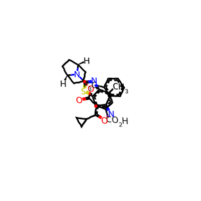 Cc1cc(C(=O)O)cc2sc(N3[C@@H]4CC[C@H]3CC(OC(=O)c3c(-c5ccccc5C(F)(F)F)noc3C3CC3)C4)nc12